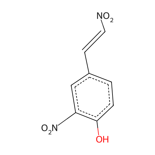 O=[N+]([O-])C=Cc1ccc(O)c([N+](=O)[O-])c1